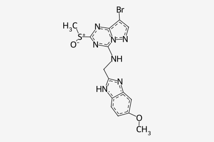 COc1ccc2[nH]c(CNc3nc([S+](C)[O-])nc4c(Br)cnn34)nc2c1